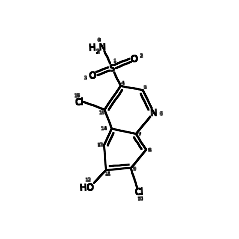 NS(=O)(=O)c1cnc2cc(Cl)c(O)cc2c1Cl